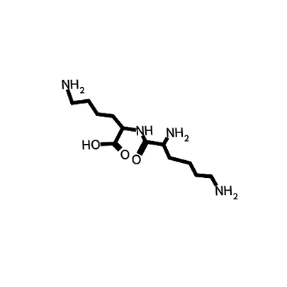 NCCCCC(N)C(=O)NC(CCCCN)C(=O)O